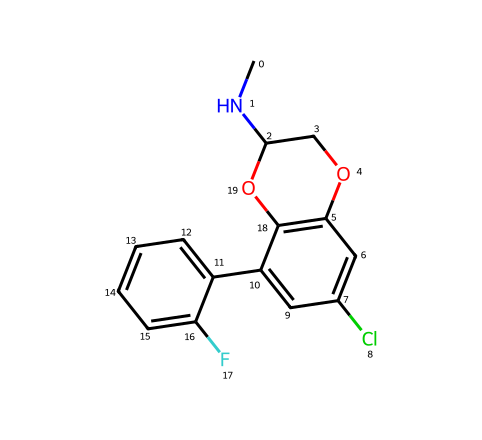 CNC1COc2cc(Cl)cc(-c3ccccc3F)c2O1